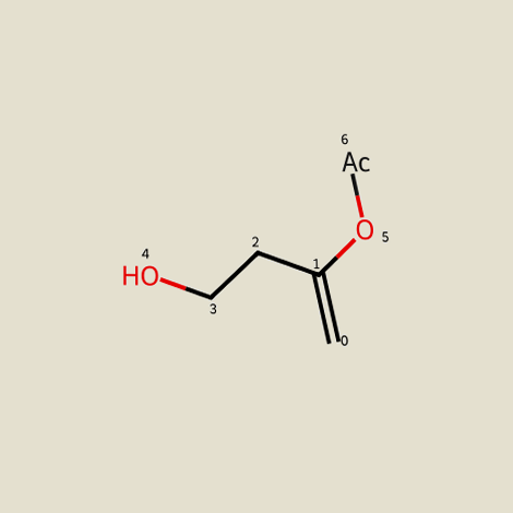 C=C(CCO)OC(C)=O